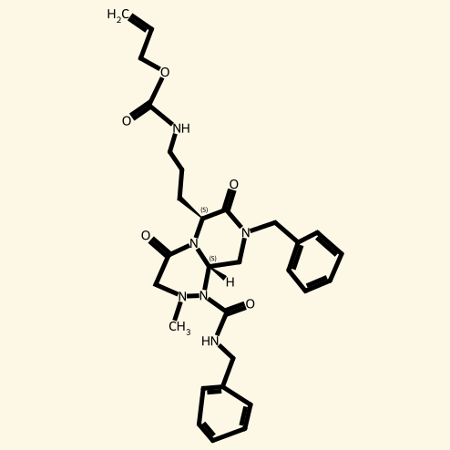 C=CCOC(=O)NCCC[C@H]1C(=O)N(Cc2ccccc2)C[C@H]2N1C(=O)CN(C)N2C(=O)NCc1ccccc1